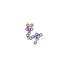 c1ccc(-c2cccc(N(c3ccc4c(ccc5sc6ccc7cc(N(c8cccc(-c9ccccc9)c8)c8cccc9c8oc8ccccc89)ccc7c6c54)c3)c3cccc4c3oc3ccccc34)c2)cc1